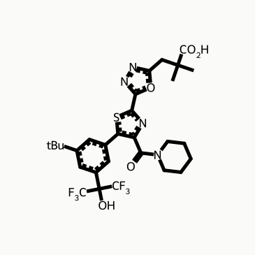 CC(C)(Cc1nnc(-c2nc(C(=O)N3CCCCC3)c(-c3cc(C(C)(C)C)cc(C(O)(C(F)(F)F)C(F)(F)F)c3)s2)o1)C(=O)O